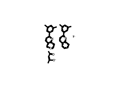 CC(=O)C=C(C)[O-].Cc1cc(C)cc(-c2ccc3ccccc3n2)c1.Cc1cc(C)cc(-c2ccc3ccccc3n2)c1.[Ir]